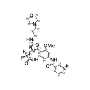 COc1cc(NC(=O)c2cccc(F)c2)ccc1-c1nnc(NCCCN2CCOCC2)o1.O=C(O)C(F)(F)F